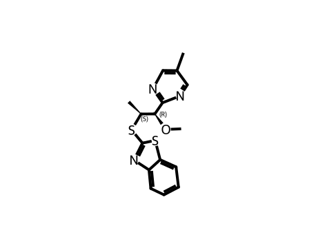 CO[C@H](c1ncc(C)cn1)[C@H](C)Sc1nc2ccccc2s1